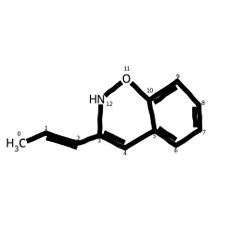 CC=CC1=Cc2ccccc2ON1